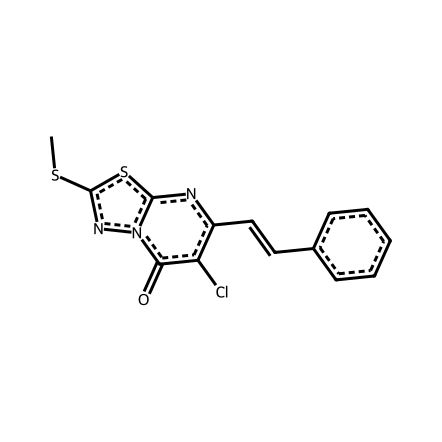 CSc1nn2c(=O)c(Cl)c(/C=C/c3ccccc3)nc2s1